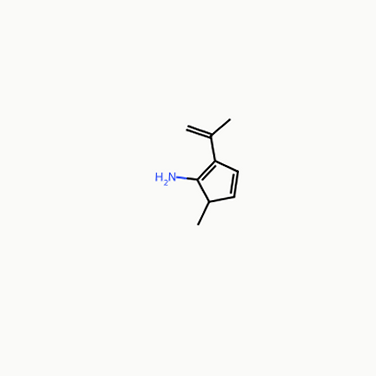 C=C(C)C1=C(N)C(C)C=C1